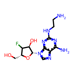 NCCNc1nc(N)c2ncn([C@@H]3O[C@H](CO)C(F)[C@H]3O)c2n1